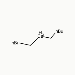 CCCC[CH2][GeH2][CH2]CCCC